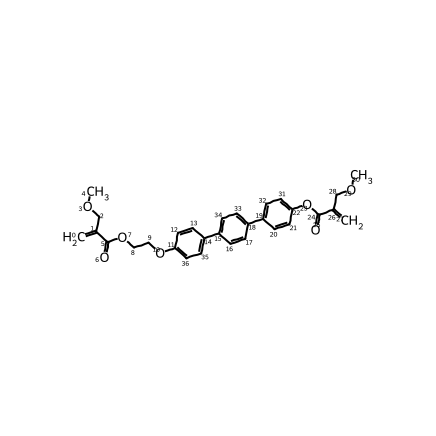 C=C(COC)C(=O)OCCOc1ccc(-c2ccc(-c3ccc(OC(=O)C(=C)COC)cc3)cc2)cc1